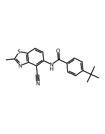 Cc1nc2c(C#N)c(NC(=O)c3ccc(C(C)(C)C)cc3)ccc2s1